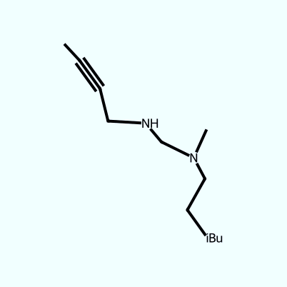 CC#CCNCN(C)CCC(C)CC